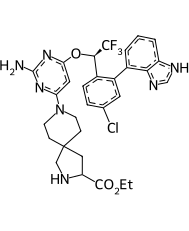 CCOC(=O)C1CC2(CCN(c3cc(O[C@H](c4ccc(Cl)cc4-c4cccc5[nH]cnc45)C(F)(F)F)nc(N)n3)CC2)CN1